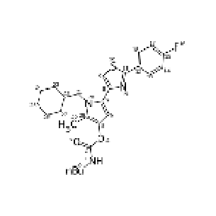 CCCCNC(=O)Oc1cc(-c2csc(-c3ccc(F)cc3)n2)n(CC2CCCCC2)c1C